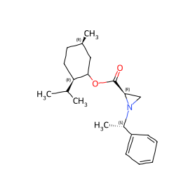 CC(C)[C@H]1CC[C@@H](C)CC1OC(=O)[C@H]1CN1[C@@H](C)c1ccccc1